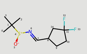 CC(C)(C)[S@+]([O-])/N=C/C1CCC(F)(F)C1